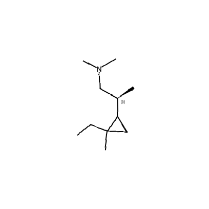 CCC1(C)CC1[C@H](C)CN(C)C